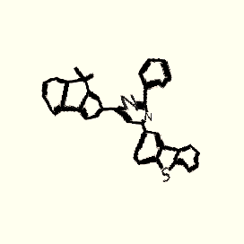 CC1(C)c2ccccc2-c2ccc(-c3cc(-c4ccc5sc6ccccc6c5c4)nc(-c4ccccc4)n3)cc21